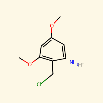 COc1ccc(CCl)c(OC)c1.N.[H+]